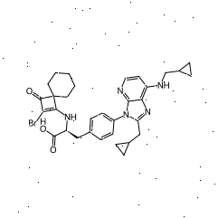 O=C(O)[C@H](Cc1ccc(-n2c(CC3CC3)nc3c(NCC4CC4)ccnc32)cc1)NC1=C(Br)C(=O)C12CCCCC2